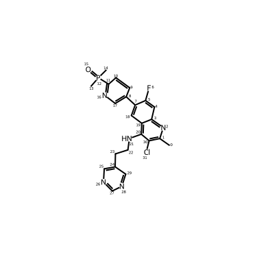 Cc1nc2cc(F)c(-c3ccc(P(C)(C)=O)nc3)cc2c(NCCc2cncnc2)c1Cl